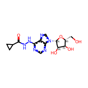 O=C(NNc1ncnc2c1ncn2[C@@H]1O[C@H](CO)[C@@H](O)[C@H]1O)C1CC1